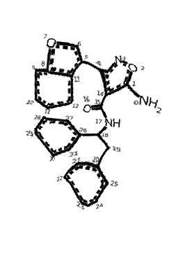 Nc1onc(-c2coc3ccccc23)c1C(=O)NC(Cc1ccccc1)c1ccccc1